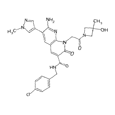 Cn1cc(-c2cc3cc(C(=O)NCc4ccc(Cl)cc4)c(=O)n(CC(=O)N4CC(C)(O)C4)c3nc2N)cn1